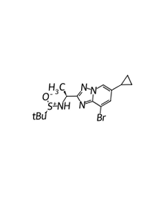 C[C@H](N[S@+]([O-])C(C)(C)C)c1nc2c(Br)cc(C3CC3)cn2n1